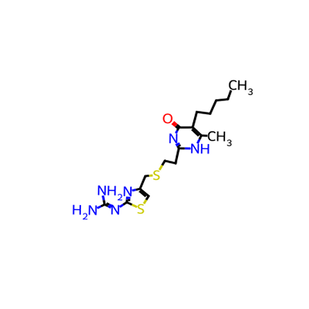 CCCCCc1c(C)[nH]c(CCSCc2csc(N=C(N)N)n2)nc1=O